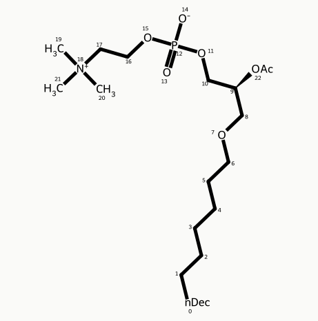 CCCCCCCCCCCCCCCCOC[C@@H](COP(=O)([O-])OCC[N+](C)(C)C)OC(C)=O